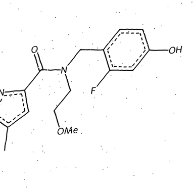 COCCN(Cc1ccc(O)cc1F)C(=O)c1cc(C)n[nH]1